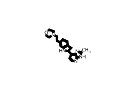 Cc1nc2c(C3Cc4ccc(CCN5CCOCC5)cc4N3)ccnc2[nH]1